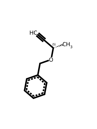 C#C[C@H](C)OCc1ccccc1